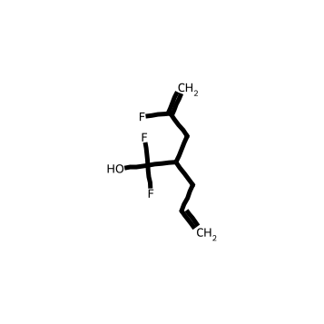 C=CCC(CC(=C)F)C(O)(F)F